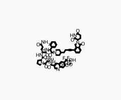 CCCC[C@H](NC(=O)c1cnc2ccc(C(F)(F)P(=O)(O)O)cc2c1)C(=O)N1CCC[C@H]1C(=O)N[C@@H](CCC(N)=O)C(=O)N[C@H](C(=O)N1CCC(CCC#Cc2cccc3c2CN(C2CCC(=O)NC2=O)C3=O)CC1)c1ccccc1